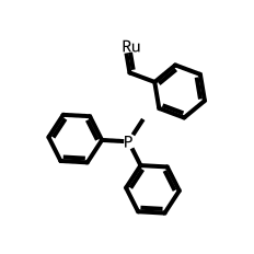 CP(c1ccccc1)c1ccccc1.[Ru]=[CH]c1ccccc1